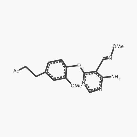 CO/N=C/c1c(N)ncnc1Oc1ccc(CCC(C)=O)cc1OC